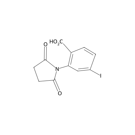 O=C(O)c1ccc(I)cc1N1C(=O)CCC1=O